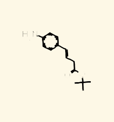 CC(C)(C)OC(=O)CC=Cc1ccc(N)cc1